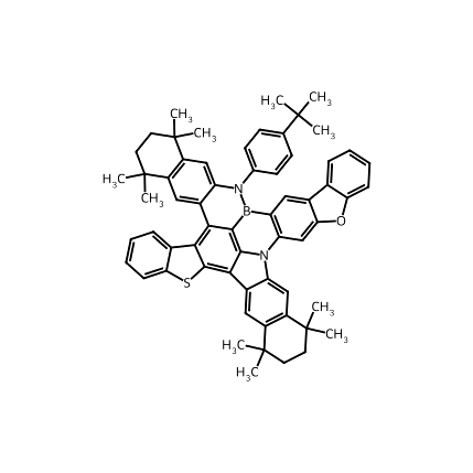 CC(C)(C)c1ccc(N2B3c4cc5c(cc4-n4c6cc7c(cc6c6c8sc9ccccc9c8c(c3c64)-c3cc4c(cc32)C(C)(C)CCC4(C)C)C(C)(C)CCC7(C)C)oc2ccccc25)cc1